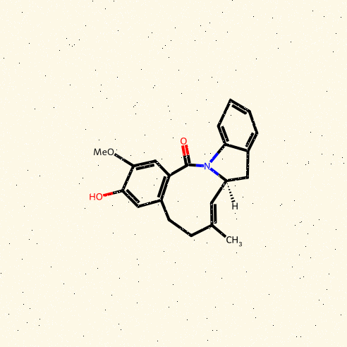 COc1cc2c(cc1O)CC/C(C)=C/[C@@H]1Cc3ccccc3N1C2=O